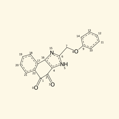 O=C1C(=O)c2[nH]c(COc3ccccc3)nc2-c2ccccc21